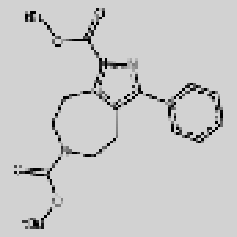 CC(C)(C)OC(=O)N1CCc2c(-c3ccccc3)nn(C(=O)OC(C)(C)C)c2CC1